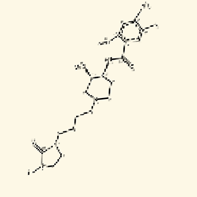 CCN1CCN(CCCCN2CC[C@H](NC(=O)c3cc(Cl)c(N)cc3OC)[C@H](OC)C2)C1=O